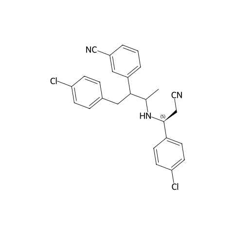 CC(N[C@@H](CC#N)c1ccc(Cl)cc1)C(Cc1ccc(Cl)cc1)c1cccc(C#N)c1